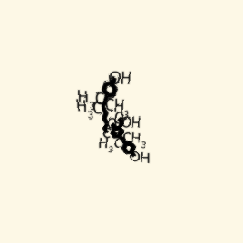 CCC(CCC(C)C(C)(C)C1CCC(O)CC1)Oc1ccc(C(C)(C)c2ccc(O)cc2)cc1C(=O)O